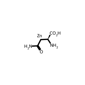 NC(=O)C[C@H](N)C(=O)O.[Zn]